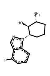 N[C@@H]1CCC[C@H](n2ncc3c(F)cccc32)[C@H]1O